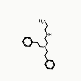 NCCNCCN(CCc1ccccc1)CCc1ccccc1